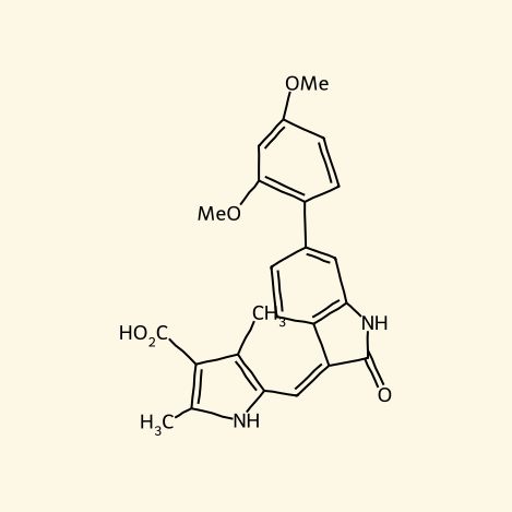 COc1ccc(-c2ccc3c(c2)NC(=O)C3=Cc2[nH]c(C)c(C(=O)O)c2C)c(OC)c1